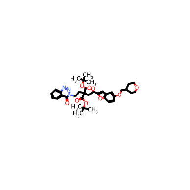 CC(C)(C)OC(=O)C(CCn1nnc2ccccc2c1=O)(CC(=O)c1cc2cc(OCC3CCOCC3)ccc2o1)C(=O)OC(C)(C)C